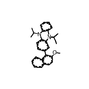 COc1ccc2ccccc2c1-c1ccc2c(c1)N(C(C)C)c1ccccc1N2C(C)C